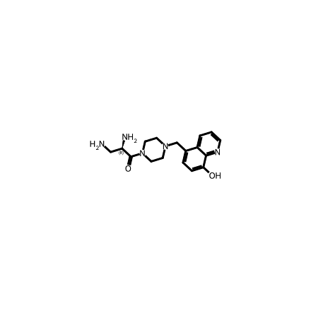 NC[C@@H](N)C(=O)N1CCN(Cc2ccc(O)c3ncccc23)CC1